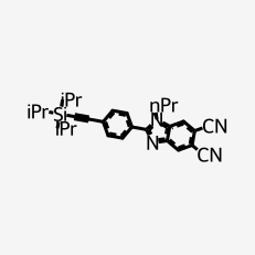 CCCn1c(-c2ccc(C#C[Si](C(C)C)(C(C)C)C(C)C)cc2)nc2cc(C#N)c(C#N)cc21